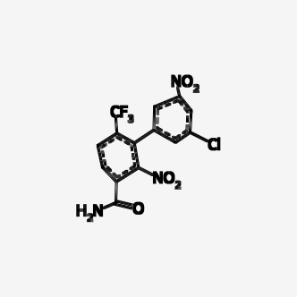 NC(=O)c1ccc(C(F)(F)F)c(-c2cc(Cl)cc([N+](=O)[O-])c2)c1[N+](=O)[O-]